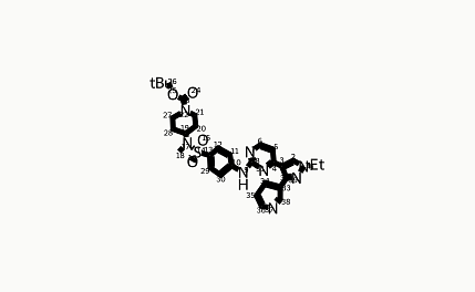 CCn1cc(-c2ccnc(Nc3ccc(S(=O)(=O)N(C)C4CCN(C(=O)OC(C)(C)C)CC4)cc3)n2)c(-c2cccnc2)n1